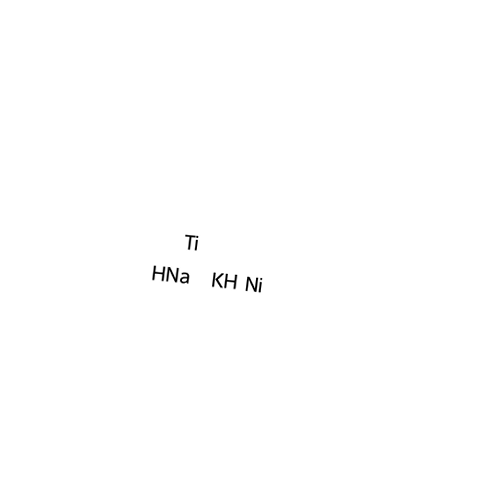 [KH].[NaH].[Ni].[Ti]